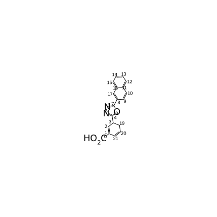 O=C(O)C1=CC(c2nnc(-c3ccc4ccccc4c3)o2)CC=C1